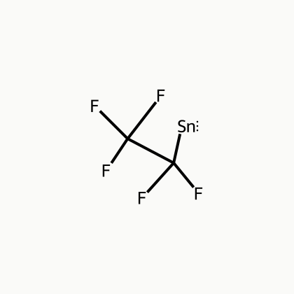 FC(F)(F)[C](F)(F)[Sn]